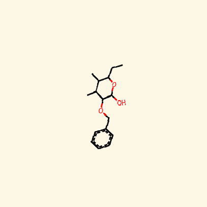 CCC1OC(O)C(OCc2ccccc2)C(C)C1C